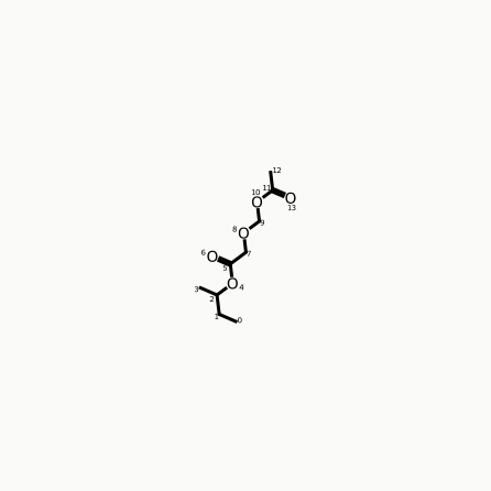 CCC(C)OC(=O)COCOC(C)=O